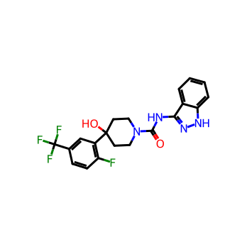 O=C(Nc1n[nH]c2ccccc12)N1CCC(O)(c2cc(C(F)(F)F)ccc2F)CC1